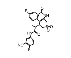 CN(C(=O)Nc1ccc(F)c(C#N)c1)C1CS(=O)(=O)Cc2[nH]c(=O)c3cc(F)ccc3c21